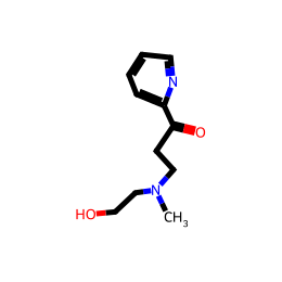 CN(CCO)CCC(=O)c1ccccn1